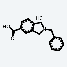 Cl.O=C(O)c1ccc2c(c1)CN(Cc1ccccc1)C2